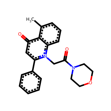 Cc1cccc2c1c(=O)cc(-c1ccccc1)n2CC(=O)N1CCOCC1